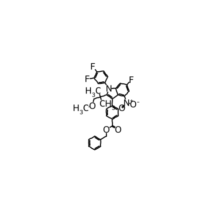 COCC(C)(C)c1c(-c2ccc(C(=O)OCc3ccccc3)cc2)c2c([N+](=O)[O-])cc(F)cc2n1-c1ccc(F)c(F)c1